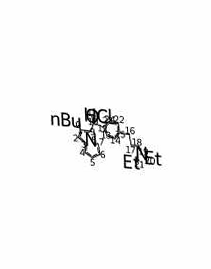 CCCCc1cc2ccccn2c1C(=O)c1ccc(CCCN(CC)CC)cc1.Cl